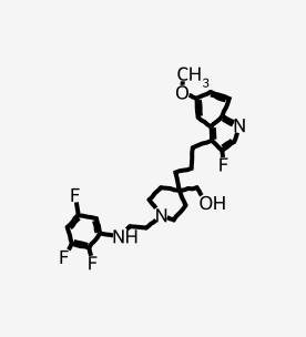 COc1ccc2ncc(F)c(CCCC3(CO)CCN(CCNc4cc(F)cc(F)c4F)CC3)c2c1